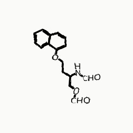 O=CNC(CCOc1cccc2ccccc12)COC=O